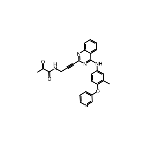 CC(=O)C(=O)NCC#Cc1nc(Nc2ccc(Oc3cccnc3)c(C)c2)c2ccccc2n1